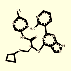 Cc1cnc(NC(=O)[C@H](COC2CCC2)Oc2nc(-c3cccnc3C)nc3[nH]ncc23)cn1